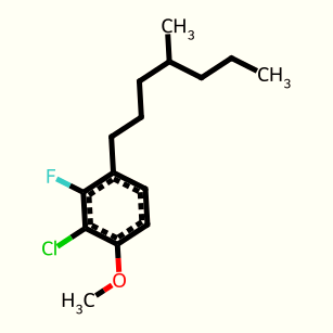 CCCC(C)CCCc1ccc(OC)c(Cl)c1F